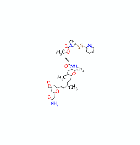 CC(C=C[C@@H]1C[C@@]2(CO2)C[C@@H](CC(N)=O)O1)=CC[C@@H]1O[C@H](C)[C@H](NC(=O)C=C[C@H](C)OC(=O)N(C)CCSSc2ccccn2)C[C@@H]1C